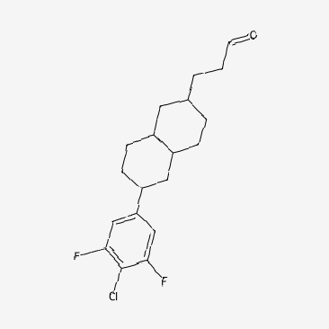 O=CCCC1CCC2CC(c3cc(F)c(Cl)c(F)c3)CCC2C1